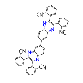 [C-]#[N+]c1ccccc1-c1nc2ccc(-c3ccc4nc(-c5ccccc5C#N)c(-c5ccccc5C#N)nc4c3)cc2nc1-c1ccccc1[N+]#[C-]